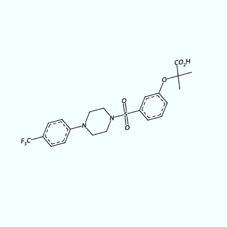 CC(C)(Oc1cccc(S(=O)(=O)N2CCN(c3ccc(C(F)(F)F)cc3)CC2)c1)C(=O)O